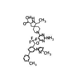 CCC1NC(C(=O)O)CC12CCN(c1cc(O[C@H](c3ccc(-c4cccc(C)c4)cc3-n3ccc(C)n3)C(F)(F)F)nc(N)n1)CC2